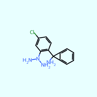 NN(N)c1cc(Cl)ccc1C1(N)c2ccccc21